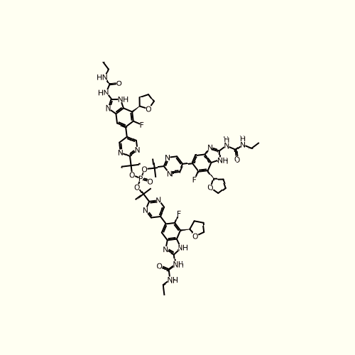 CCNC(=O)Nc1nc2cc(-c3cnc(C(C)(C)OP(=O)(OC(C)(C)c4ncc(-c5cc6nc(NC(=O)NCC)[nH]c6c([C@H]6CCCO6)c5F)cn4)OC(C)(C)c4ncc(-c5cc6nc(NC(=O)NCC)[nH]c6c([C@H]6CCCO6)c5F)cn4)nc3)c(F)c([C@H]3CCCO3)c2[nH]1